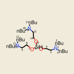 CCCCN(CCCC)CCO[SiH](OCCN(CCCC)CCCC)OCCN(CCCC)CCCC